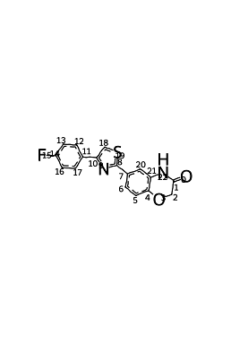 O=C1COc2ccc(-c3nc(-c4ccc(F)cc4)cs3)cc2N1